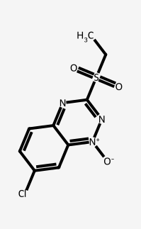 CCS(=O)(=O)c1nc2ccc(Cl)cc2[n+]([O-])n1